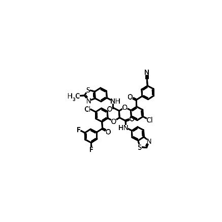 Cc1nc2cc(NC(=O)C(Oc3ccc(Cl)cc3C(=O)c3cccc(C#N)c3)C(Oc3ccc(Cl)cc3C(=O)c3cc(F)cc(F)c3)C(=O)Nc3ccc4ncsc4c3)ccc2s1